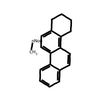 CCCCCCCCCC.c1ccc2c(c1)ccc1c3c(ccc12)CCCC3